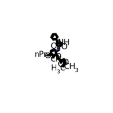 CCCOc1ccc(/C=C2/C(=O)NN(c3ccccc3)C2=O)c(OCC2COC(C)(C)O2)c1C